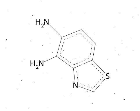 Nc1ccc2scnc2c1N